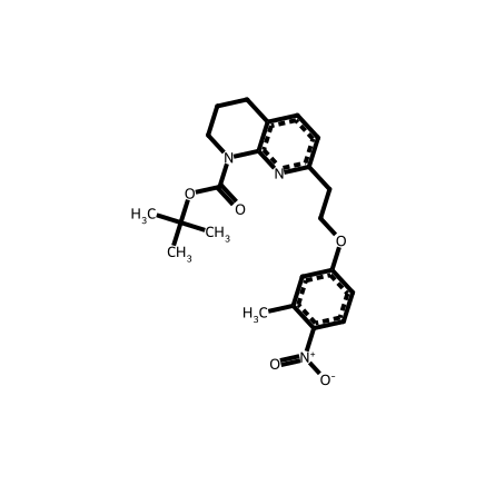 Cc1cc(OCCc2ccc3c(n2)N(C(=O)OC(C)(C)C)CCC3)ccc1[N+](=O)[O-]